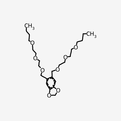 CCCCOCCOCCOCc1cc2c(cc1COCCOCCOCCCC)OCO2